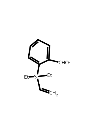 C=C[Si](CC)(CC)c1ccccc1[C]=O